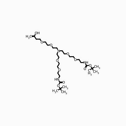 C=C(O)CCOCCOCCN(CCOCCOCCNC(=O)OC(C)(C)C)CCOCCOCCNC(=O)OC(C)(C)C